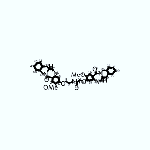 COc1cc2c(cc1OCCNC(=O)COc1cc3c(cc1OC)C(=O)N1Cc4ccccc4C[C@H]1C=N3)N=C[C@@H]1Cc3ccccc3CN1C2=O